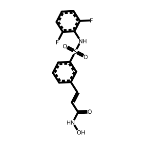 O=C(/C=C/c1cccc(S(=O)(=O)Nc2c(F)cccc2F)c1)NO